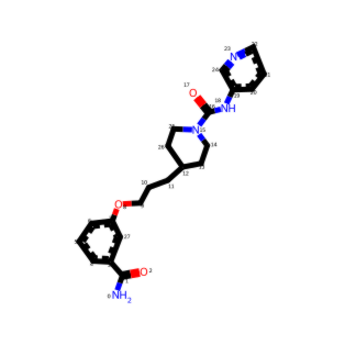 NC(=O)c1cccc(OCCCC2CCN(C(=O)Nc3cccnc3)CC2)c1